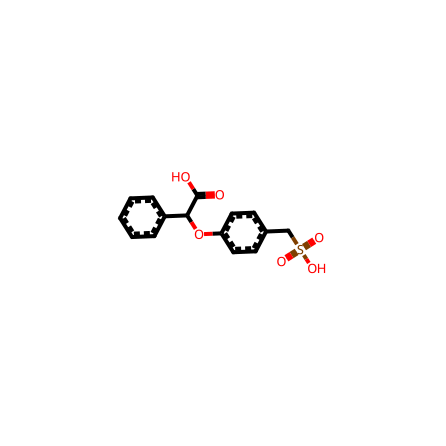 O=C(O)C(Oc1ccc(CS(=O)(=O)O)cc1)c1ccccc1